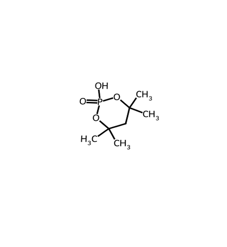 CC1(C)CC(C)(C)OP(=O)(O)O1